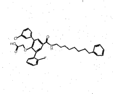 O=C(O)COc1c(-c2cccc(Cl)c2)cc(C(=O)NCCCCCCCCc2ccccc2)cc1-c1ccccc1F